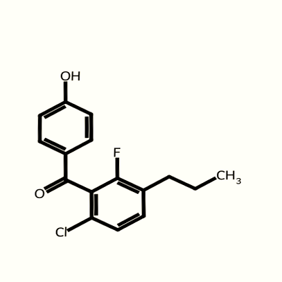 CCCc1ccc(Cl)c(C(=O)c2ccc(O)cc2)c1F